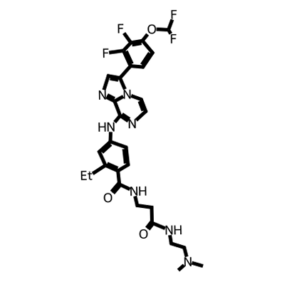 CCc1cc(Nc2nccn3c(-c4ccc(OC(F)F)c(F)c4F)cnc23)ccc1C(=O)NCCC(=O)NCCN(C)C